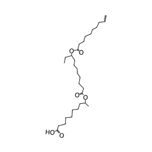 C=CCCCCCCCC(=O)OC(CC)CCCCCCCC(=O)OC(C)CCCCCCCC(=O)O